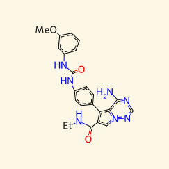 CCNC(=O)c1cn2ncnc(N)c2c1-c1ccc(NC(=O)Nc2cccc(OC)c2)cc1